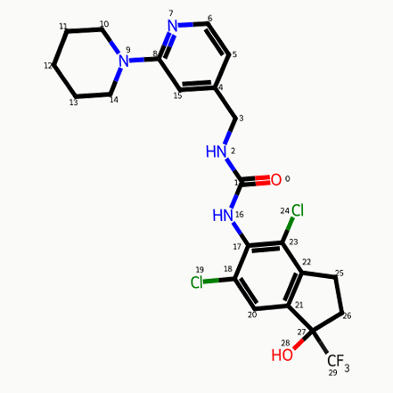 O=C(NCc1ccnc(N2CCCCC2)c1)Nc1c(Cl)cc2c(c1Cl)CCC2(O)C(F)(F)F